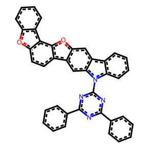 c1ccc(-c2nc(-c3ccccc3)nc(-n3c4ccccc4c4cc5oc6c(ccc7oc8ccccc8c76)c5cc43)n2)cc1